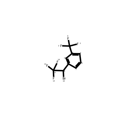 FC(F)(F)c1cccc(C(Br)C(F)(F)F)c1